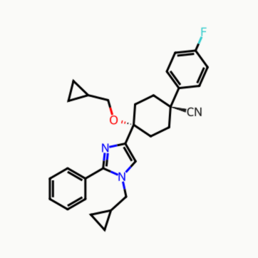 N#C[C@]1(c2ccc(F)cc2)CC[C@](OCC2CC2)(c2cn(CC3CC3)c(-c3ccccc3)n2)CC1